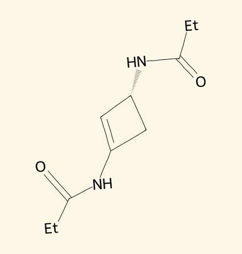 CCC(=O)NC1=C[C@H](NC(=O)CC)C1